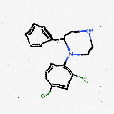 Clc1ccc(N2CCNCC2c2ccccc2)c(Cl)c1